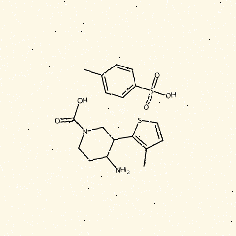 Cc1ccc(S(=O)(=O)O)cc1.Cc1ccsc1C1CN(C(=O)O)CCC1N